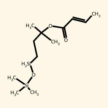 CC=CC(=O)OC(C)(C)CC[SiH2]O[Si](C)(C)C